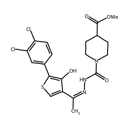 COC(=O)C1CCN(C(=O)NN=C(C)c2csc(-c3ccc(Cl)c(Cl)c3)c2O)CC1